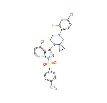 Cc1ccc(S(=O)(=O)n2nc(N3CCN(c4ccc(Cl)cc4F)CC34CC4)c3c(Cl)cccc32)cc1